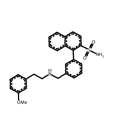 COc1cccc(CCNCc2cccc(-c3c(S(N)(=O)=O)ccc4ccccc34)c2)c1